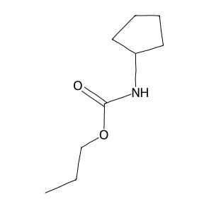 CCCOC(=O)NC1CCCC1